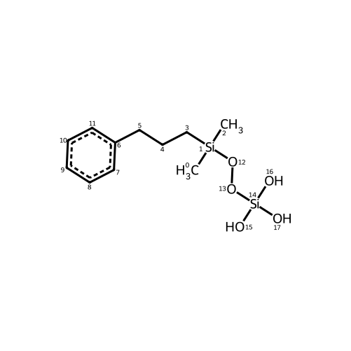 C[Si](C)(CCCc1ccccc1)OO[Si](O)(O)O